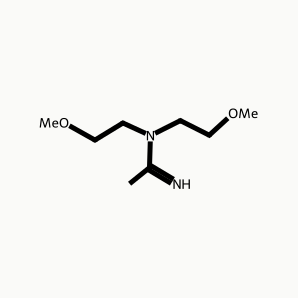 COCCN(CCOC)C(C)=N